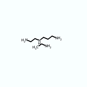 CCN.NCCCNCCN